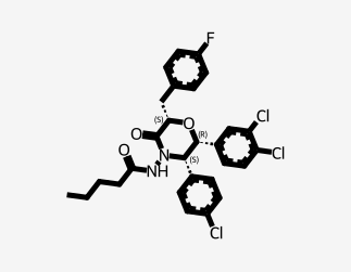 CCCCC(=O)NN1C(=O)[C@H](Cc2ccc(F)cc2)O[C@H](c2ccc(Cl)c(Cl)c2)[C@@H]1c1ccc(Cl)cc1